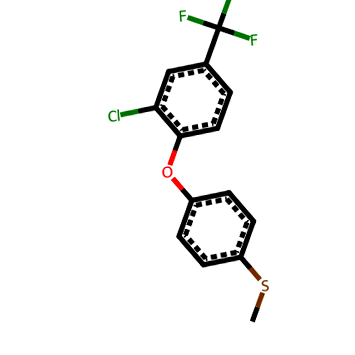 CSc1ccc(Oc2ccc(C(F)(F)F)cc2Cl)cc1